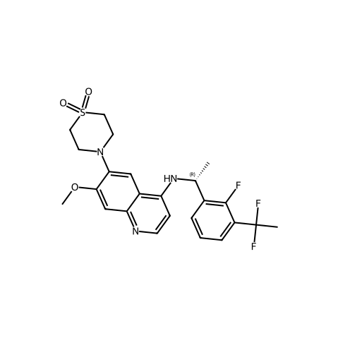 COc1cc2nccc(N[C@H](C)c3cccc(C(C)(F)F)c3F)c2cc1N1CCS(=O)(=O)CC1